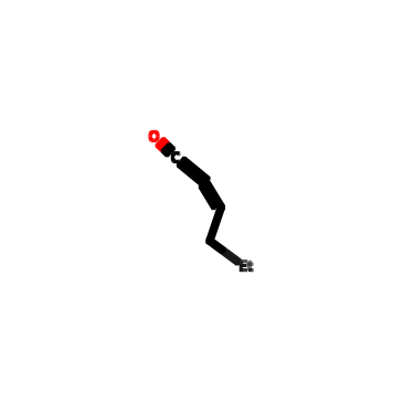 CCCC=C=C=O